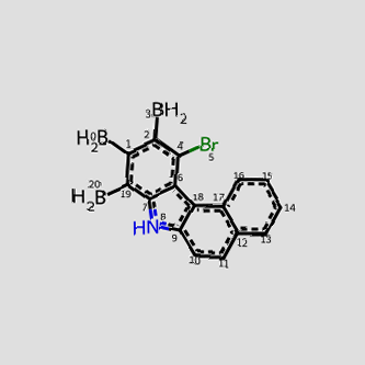 Bc1c(B)c(Br)c2c([nH]c3ccc4ccccc4c32)c1B